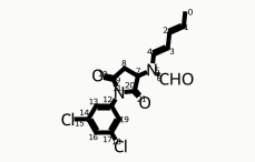 CC=CC=CN(C=O)C1CC(=O)N(c2cc(Cl)cc(Cl)c2)C1=O